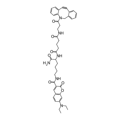 CCN(CC)c1ccc2cc(C(=O)NCCCCC(NC(=O)CCCC(=O)NCCC(=O)N3Cc4ccccc4C#Cc4ccccc43)C(N)=O)c(=O)oc2c1